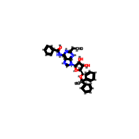 CC(C)(C)[Si](OC[C@H]1O[C@@H](n2cnc3c(NC(=O)c4ccccc4)nc(CC=O)nc32)C(O)C1O)(c1ccccc1)c1ccccc1